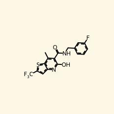 Cc1c(C(=O)NCc2cccc(F)c2)c(O)nc2cc(C(F)(F)F)sc12